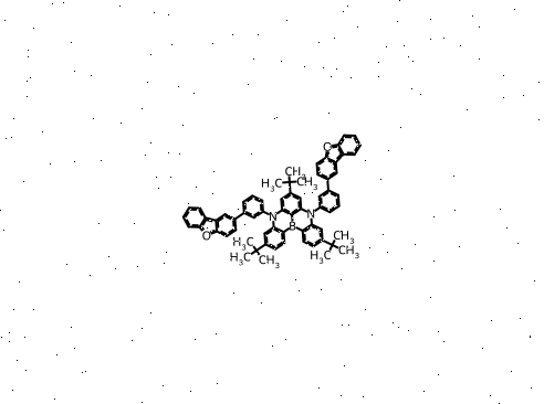 CC(C)(C)c1ccc2c(c1)N(c1cccc(-c3ccc4oc5ccccc5c4c3)c1)c1cc(C(C)(C)C)cc3c1B2c1ccc(C(C)(C)C)cc1N3c1cccc(-c2ccc3oc4ccccc4c3c2)c1